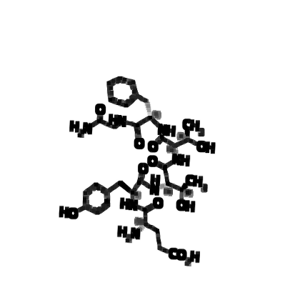 C[C@@H](O)[C@H](NC(=O)[C@H](Cc1ccc(O)cc1)NC(=O)[C@@H](N)CCC(=O)O)C(=O)N[C@H](C(=O)N[C@@H](Cc1ccccc1)C(=O)NCC(N)=O)[C@@H](C)O